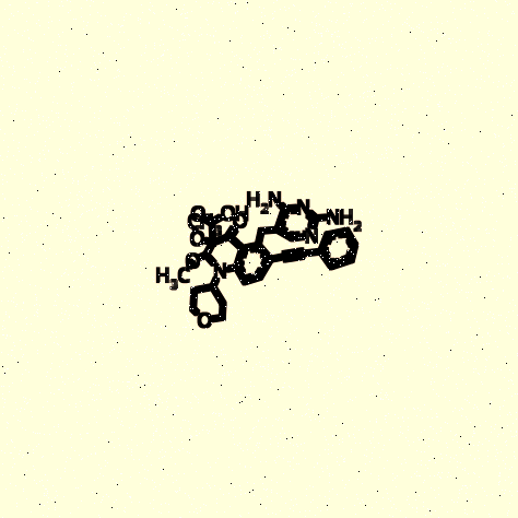 COC1N(C2CCOCC2)c2ccc(C#Cc3ccccc3)c(Cc3cnc(N)nc3N)c2C(=O)C1(OC)C(=O)O